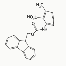 Cc1cccc(NC(=O)OCC2c3ccccc3-c3ccccc32)c1C(=O)O